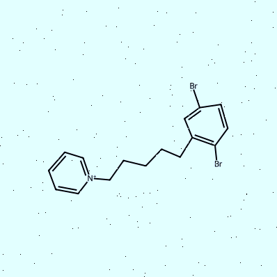 Brc1ccc(Br)c(CCCCC[n+]2ccccc2)c1